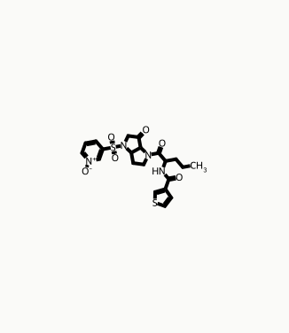 CCCC(NC(=O)c1ccsc1)C(=O)N1CCC2C1C(=O)CN2S(=O)(=O)c1ccc[n+]([O-])c1